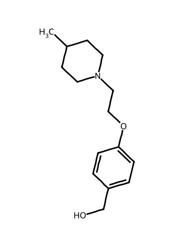 CC1CCN(CCOc2ccc(CO)cc2)CC1